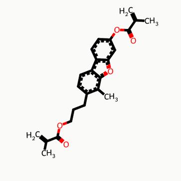 C=C(C)C(=O)OCCCc1ccc2c(oc3cc(OC(=O)C(=C)C)ccc32)c1C